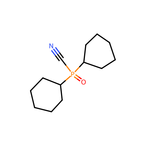 N#CP(=O)(C1CCCCC1)C1CCCCC1